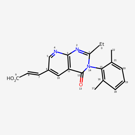 CCc1nc2ncc(C=CC(=O)O)cc2c(=O)n1-c1c(C)cccc1C